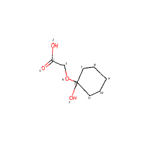 O=C(O)COC1(O)CCCCC1